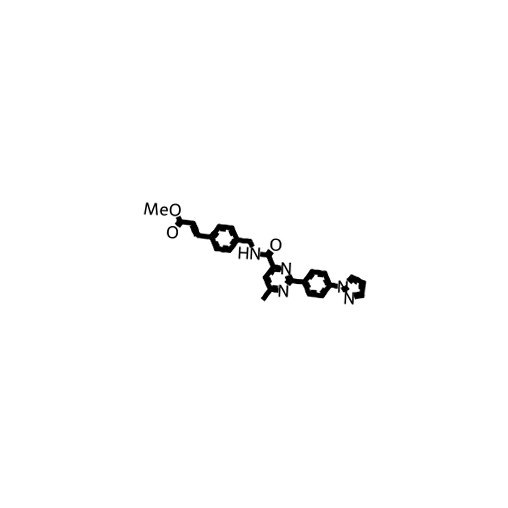 COC(=O)/C=C/c1ccc(CNC(=O)c2cc(C)nc(-c3ccc(-n4cccn4)cc3)n2)cc1